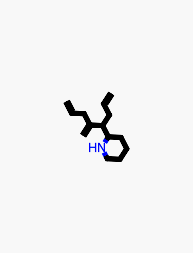 C=CCC(=C)C(CC=C)C1CCCCN1